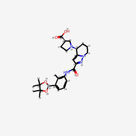 Cc1c(NC(=O)c2cc3n(n2)CCC[C@@H]3N2CC[C@@H](C(=O)O)C2)cccc1B1OC(C)(C)C(C)(C)O1